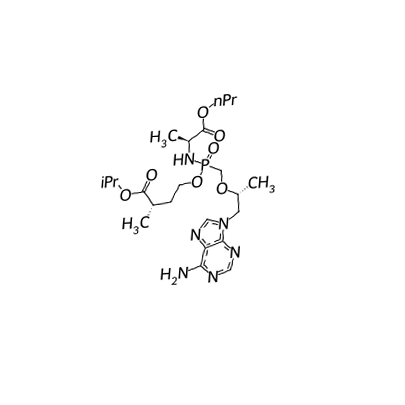 CCCOC(=O)[C@H](C)NP(=O)(CO[C@H](C)Cn1cnc2c(N)ncnc21)OCC[C@H](C)C(=O)OC(C)C